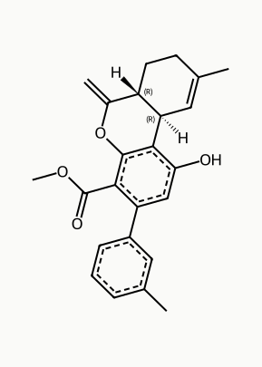 C=C1Oc2c(C(=O)OC)c(-c3cccc(C)c3)cc(O)c2[C@@H]2C=C(C)CC[C@@H]12